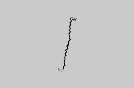 OCCCCCCCCC=CCC=CCC=CCCCCCCCCCO